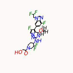 [2H]C([2H])([2H])Oc1nc(N[C@@H]2CCN(C(=O)CO)CC2(F)F)nn2cc(F)c(-c3cc(F)c4ncn(CC(F)F)c4c3)c12